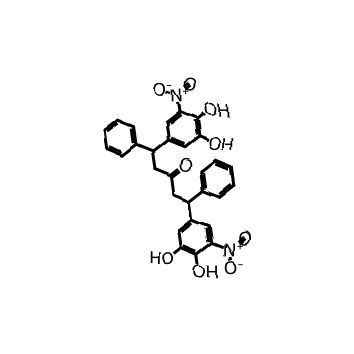 O=C(CC(c1ccccc1)c1cc(O)c(O)c([N+](=O)[O-])c1)CC(c1ccccc1)c1cc(O)c(O)c([N+](=O)[O-])c1